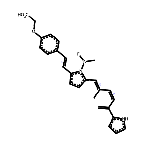 C=C(/C=C\C(C)=C\c1ccc(/C=C/c2ccc(OCC(=O)O)cc2)n1B(C)F)c1ccc[nH]1